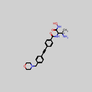 C[C@@H](N)C(NC(=O)c1ccc(C#Cc2ccc(CN3CCOCC3)cc2)cc1)C(=O)NO